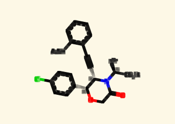 CCC[C@@H](C(=O)OCC)N1C(=O)CO[C@H](c2ccc(Cl)cc2)[C@@H]1C#Cc1ccccc1NC(C)=O